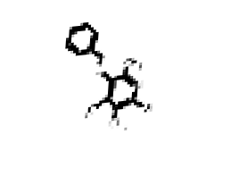 Cc1nc(Br)c(C)c(C)c1OCc1ccccc1